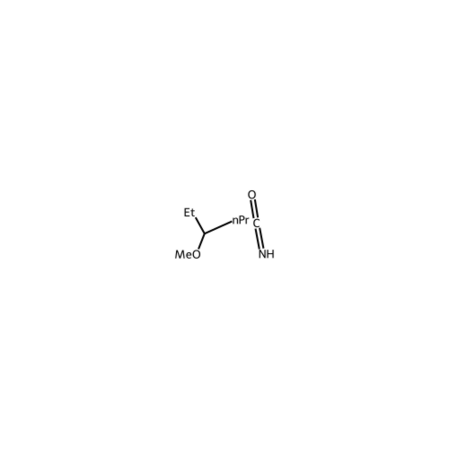 CCCC(CC)OC.N=C=O